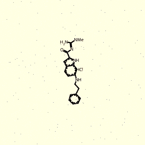 CNC(N)=NC(=O)c1cc2ccc(NCCc3ccccc3)cc2[nH]1.Cl